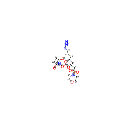 [N-]=[N+]=NCCCCCC(CS(=O)(=O)N1CCOCC1)OC(=O)ON1C(=O)CCC1=O